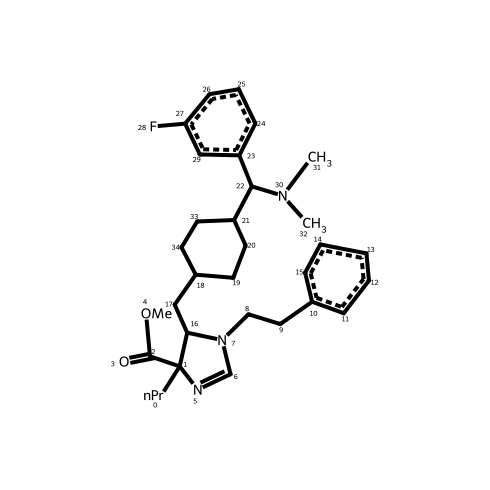 CCCC1(C(=O)OC)N=CN(CCc2ccccc2)C1CC1CCC(C(c2cccc(F)c2)N(C)C)CC1